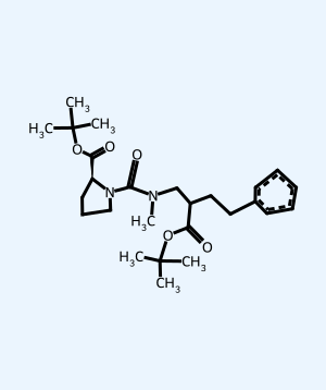 CN(CC(CCc1ccccc1)C(=O)OC(C)(C)C)C(=O)N1CCC[C@H]1C(=O)OC(C)(C)C